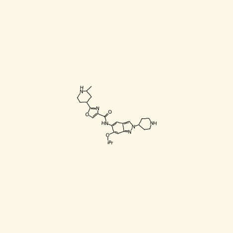 CC1CC(c2nc(C(=O)Nc3cc4cn(C5CCNCC5)nc4cc3OC(C)C)co2)CCN1